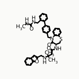 CNC(=O)NCc1ccccc1-c1ccc(CN2C(=O)[C@H](NC(=O)CC(C)(C)NCc3cc4ccccc4o3)CSc3ccccc32)cc1